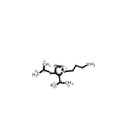 CCCCn1nnc(CC(C)C)c1C(C)C